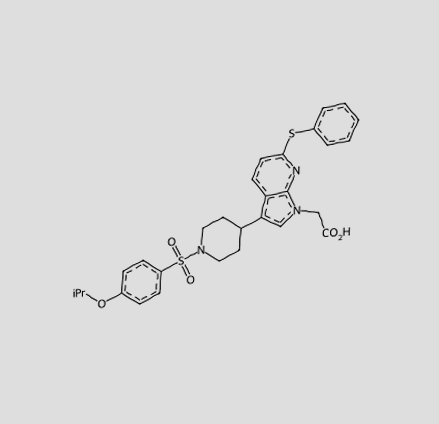 CC(C)Oc1ccc(S(=O)(=O)N2CCC(c3cn(CC(=O)O)c4nc(Sc5ccccc5)ccc34)CC2)cc1